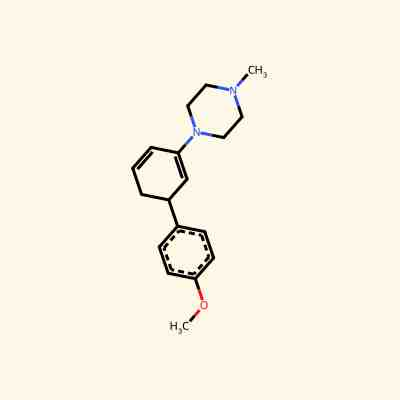 COc1ccc(C2C=C(N3CCN(C)CC3)C=CC2)cc1